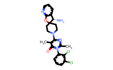 Cc1c(N2CCC3(CC2)Oc2ncccc2[C@@H]3N)nc(C)n(-c2cccc(Cl)c2Cl)c1=O